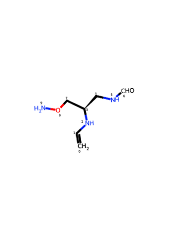 C=CN[C@H](CNC=O)CON